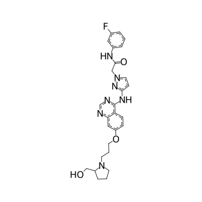 O=C(Cn1ccc(Nc2ncnc3cc(OCCCN4CCCC4CO)ccc23)n1)Nc1cccc(F)c1